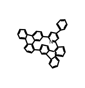 c1ccc(-c2cc(-c3ccccc3)nc(-c3ccc4c5ccccc5c5cccc(-c6ccc7sc8ccccc8c7c6)c5c4c3)c2)cc1